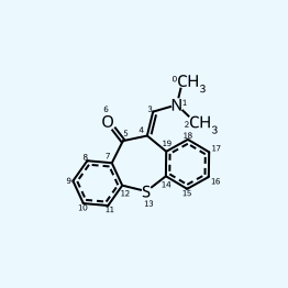 CN(C)/C=C1/C(=O)c2ccccc2Sc2ccccc21